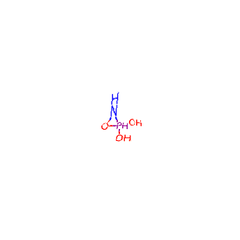 O[PH]1(O)NO1